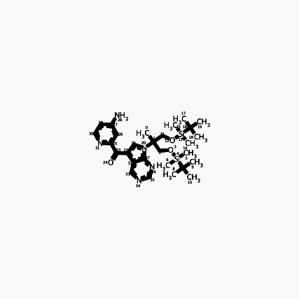 CC(CO[Si](C)(C)C(C)(C)C)(CO[Si](C)(C)C(C)(C)C)n1cc(C(=O)c2cc(N)ccn2)c2cncnc21